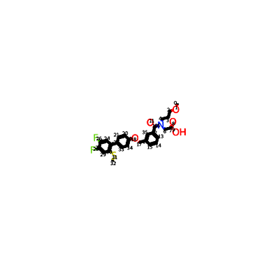 COCCCN(CC(=O)O)C(=O)c1cccc(COc2ccc(-c3cc(F)c(F)cc3SC)cc2)c1